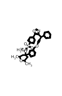 COC1(c2cccc(COC#CC(c3ccccc3)c3ncoc3-c3ccc(S(N)(=O)=O)cc3)c2)CC(C)OC(C)C1